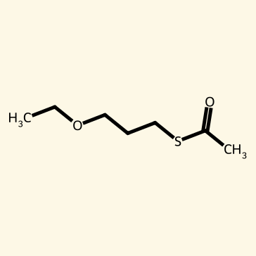 CCOCCCSC(C)=O